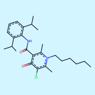 CCCCCCn1c(C)c(Cl)c(=O)c(C(=O)Nc2c(C(C)C)cccc2C(C)C)c1C